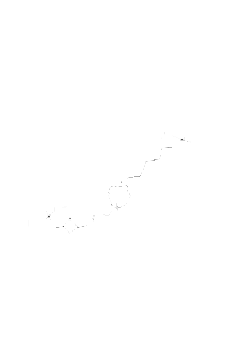 CC(C)(C)OCCCCCN1CCN(CCOC2CC(OC(C)(C)C)C2)CC1